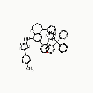 Cc1ccc(-c2noc(Nc3cc(-c4ccccc4-c4nnnn4C(c4ccccc4)(c4ccccc4)c4ccccc4)cc4c3OCCCC4c3ccccc3)n2)cc1